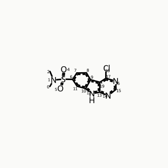 CN(C)S(=O)(=O)c1ccc2c(c1)[nH]c1ncnc(Cl)c12